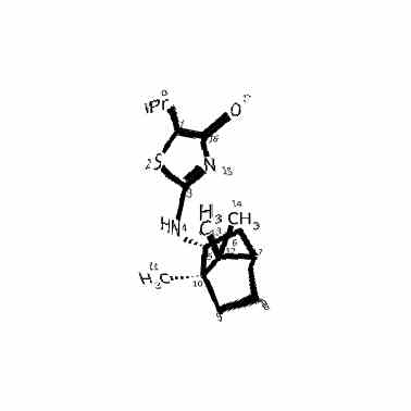 CC(C)C1SC(N[C@@H]2CC3CC[C@]2(C)C3(C)C)=NC1=O